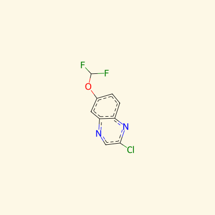 FC(F)Oc1ccc2nc(Cl)cnc2c1